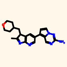 CC1=Nc2ncc(-c3ccn4nc(N)ncc34)cc2C1CC1CCOCC1